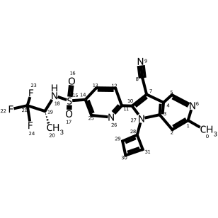 Cc1cc2c(cn1)c(C#N)c(-c1ccc(S(=O)(=O)N[C@H](C)C(F)(F)F)cn1)n2C1=CC=C1